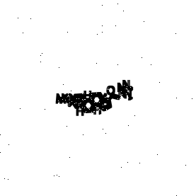 COC[C@]12CC[C@@](C)(O)C[C@@H]1CC[C@H]1[C@@H]3CC[C@H](C(=O)CN4N=NCN4C)[C@@]3(C)CC[C@@H]12